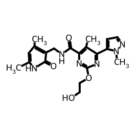 Cc1cc(C)c(CNC(=O)c2nc(OCCO)nc(-c3ccnn3C)c2C)c(=O)[nH]1